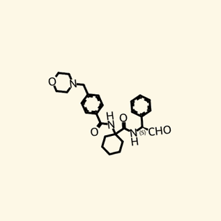 O=C[C@@H](NC(=O)C1(NC(=O)c2ccc(CN3CCOCC3)cc2)CCCCC1)c1ccccc1